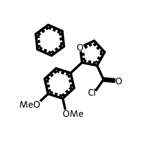 COc1ccc(-c2occc2C(=O)Cl)cc1OC.c1ccccc1